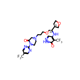 O=C1CN(CCCOC[C@H](Nc2cn[nH]c(=O)c2C(F)(F)F)[C@H]2CCOC2)CCN1c1ncc(C(F)(F)F)cn1